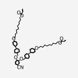 C=CC(=O)OCCCCCCCCCCOc1ccc(-c2ccc(COc3ccc(C#N)cc3OCc3ccc(-c4ccc(OCCCCCCCCCCOC(=O)C=C)cc4)cc3)cc2)cc1